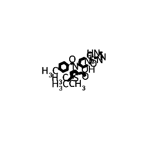 CC(C)(C)c1cc(N(C(=O)[C@H]2CC[C@H](C)CC2)C2CCN(S(=O)(=O)c3nnc[nH]3)CC2)c(C(=O)O)s1